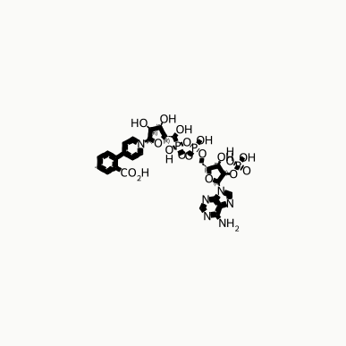 Nc1ncnc2c1ncn2[C@@H]1O[C@H](COP(=O)(O)OP(=O)(O)C(O)[C@@H]2O[C@@H]([n+]3ccc(-c4cc[c]cc4C(=O)O)cc3)[C@H](O)[C@@H]2O)[C@@H](O)[C@H]1OP(=O)(O)O